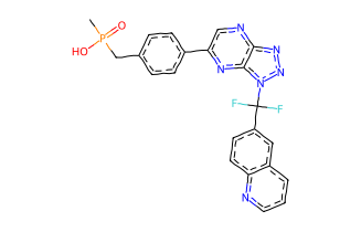 CP(=O)(O)Cc1ccc(-c2cnc3nnn(C(F)(F)c4ccc5ncccc5c4)c3n2)cc1